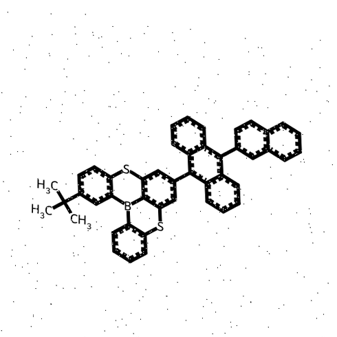 CC(C)(C)c1ccc2c(c1)B1c3ccccc3Sc3cc(-c4c5ccccc5c(-c5ccc6ccccc6c5)c5ccccc45)cc(c31)S2